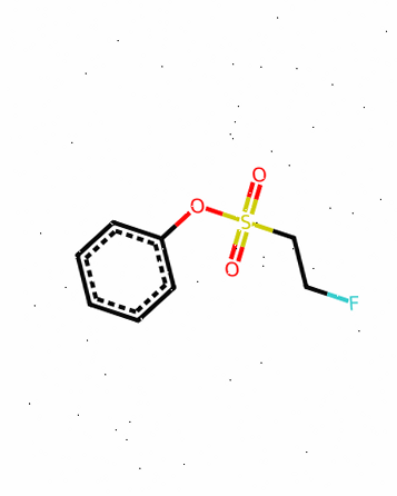 O=S(=O)(CCF)Oc1ccccc1